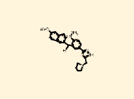 CCC(c1ccc2cc(OC)ccc2c1)c1cc(-c2n[nH]c(CN3CCCC3)n2)ccc1NN